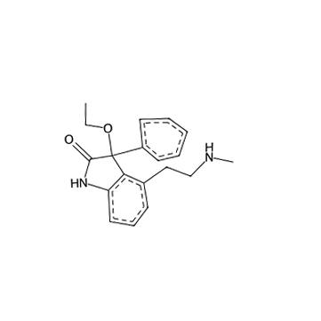 CCOC1(c2ccccc2)C(=O)Nc2cccc(CCNC)c21